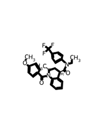 CCN(C(=O)[C@@H]1C[C@@H](C)N(C(=O)c2ccc(OC)cc2)c2ccccc21)c1ccc(C(F)(F)F)cc1